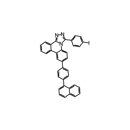 Ic1ccc(-c2nnc3c4ccccc4c4cc(-c5ccc(-c6cccc7ccccc67)cc5)ccc4n23)cc1